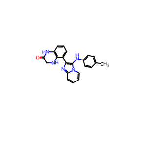 Cc1ccc(Nc2c(-c3cccc4c3NCC(=O)N4)nc3ccccn23)cc1